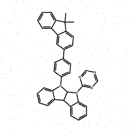 CC1(C)c2ccccc2-c2cc(-c3ccc(N4c5ccccc5C5c6ccccc6N(c6ncncn6)C54)cc3)ccc21